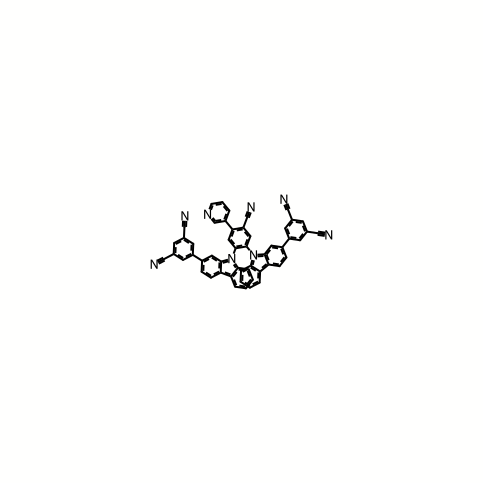 N#Cc1cc(C#N)cc(-c2ccc3c4ccccc4n(-c4cc(C#N)c(-c5cccnc5)cc4-n4c5ccccc5c5ccc(-c6cc(C#N)cc(C#N)c6)cc54)c3c2)c1